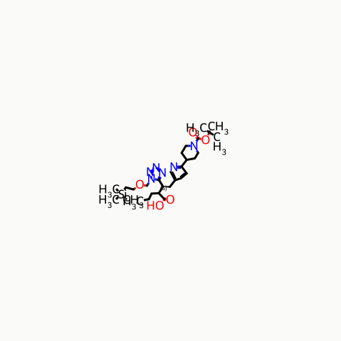 CCCC(C(=O)O)[C@H](Cc1ccc(C2CCN(C(=O)OC(C)(C)C)CC2)nc1)c1nnnn1COCC[Si](C)(C)C